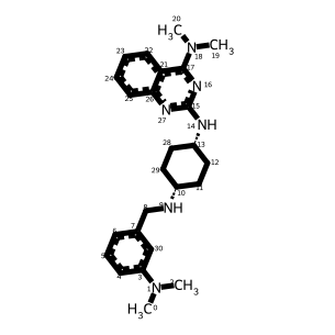 CN(C)c1cccc(CN[C@H]2CC[C@@H](Nc3nc(N(C)C)c4ccccc4n3)CC2)c1